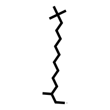 [CH2]CC(C)CCCCCCCCCC(C)(C)C